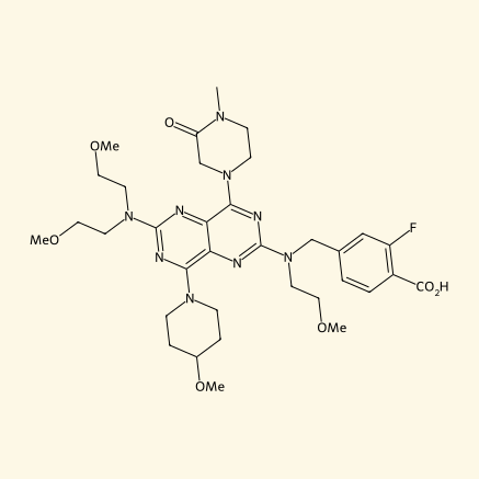 COCCN(Cc1ccc(C(=O)O)c(F)c1)c1nc(N2CCN(C)C(=O)C2)c2nc(N(CCOC)CCOC)nc(N3CCC(OC)CC3)c2n1